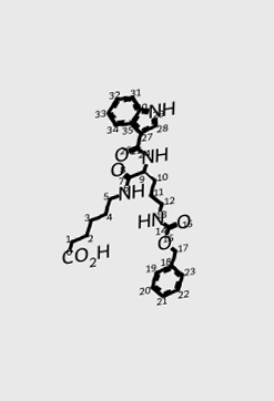 O=C(O)CCCCCNC(=O)[C@H](CCCNC(=O)OCc1ccccc1)NC(=O)c1c[nH]c2ccccc12